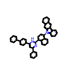 C1=C(c2ccc(-c3ccccc3)cc2)NC(c2ccc(-n3c4ccccc4c4cc5ccccc5cc43)c3ccccc23)N=C1c1ccccc1